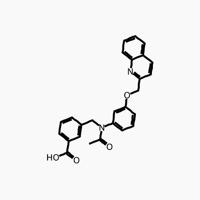 CC(=O)N(Cc1cccc(C(=O)O)c1)c1cccc(OCc2ccc3ccccc3n2)c1